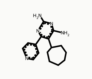 Nc1nc(N)c(C2CCCCCC2)c(-c2ccncc2)n1